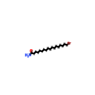 NC(=O)CCCCCCCCCCCCCCCCCBr